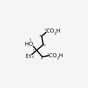 CCC(O)(CCC(=O)O)CC(=O)O